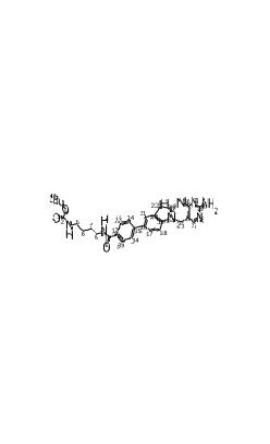 CC(C)(C)OC(=O)NCCCCNC(=O)c1ccc(-c2ccc3c(c2)CCN3Cc2cnc(N)nc2N)cc1